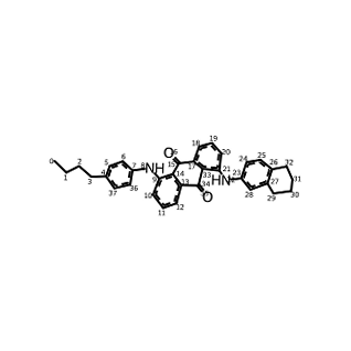 CCCCc1ccc(Nc2cccc3c2C(=O)c2cccc(Nc4ccc5c(c4)CCCC5)c2C3=O)cc1